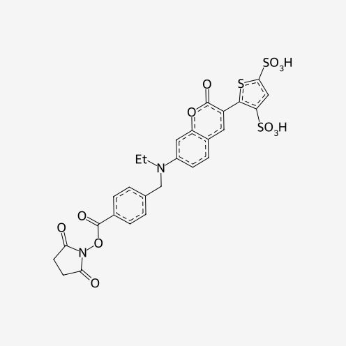 CCN(Cc1ccc(C(=O)ON2C(=O)CCC2=O)cc1)c1ccc2cc(-c3sc(S(=O)(=O)O)cc3S(=O)(=O)O)c(=O)oc2c1